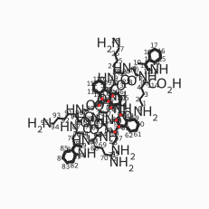 NCCCC[C@@H](NC(=O)[C@@H](Cc1c[nH]c2ccccc12)NC(=O)[C@@H](CCCCN)NC(=O)CNC(=O)[C@H](CC(N)=O)NC(=O)[C@@H](CCCCN)NC(=O)[C@@H](Cc1c[nH]c2ccccc12)NC(=O)[C@@H](CCCCN)NC(=O)[C@@H](Cc1c[nH]c2ccccc12)NC(=O)[C@@H](CCCCN)NC(=O)OCC1c2ccccc2-c2ccccc21)C(=O)O